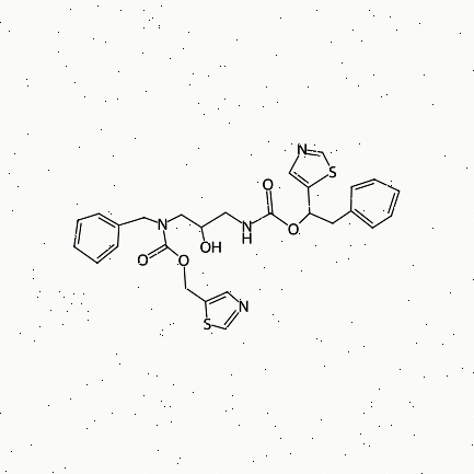 O=C(NCC(O)CN(Cc1ccccc1)C(=O)OCc1cncs1)OC(Cc1ccccc1)c1cncs1